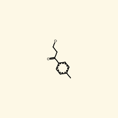 Cc1ccc(C(=O)CC[O])cc1